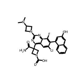 CN(C)C1CN(c2nc(C3(C(N)=O)CN(C(=O)O)C3)c3cc(Cl)c(-c4cc(O)cc5ccccc45)c(F)c3n2)C1